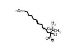 CCCCCCCCCCCCCCC=CCCCCC(CC)(P(=O)=O)[N+](C)(C)C